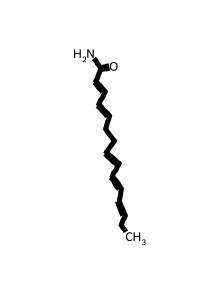 CCC=CC=CC=CCCC=CC=CC(N)=O